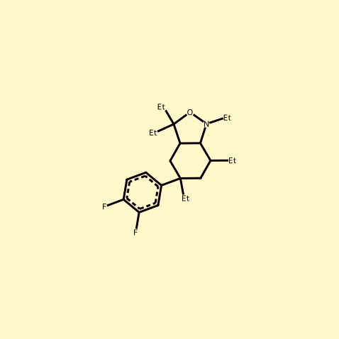 CCC1CC(CC)(c2ccc(F)c(F)c2)CC2C1N(CC)OC2(CC)CC